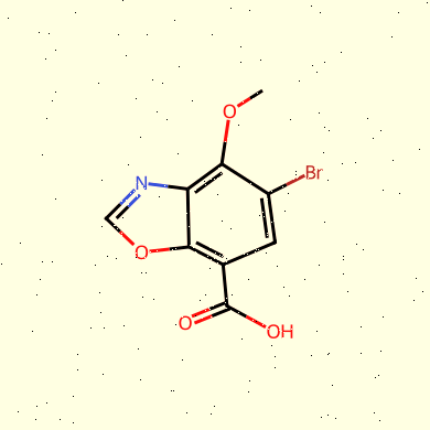 COc1c(Br)cc(C(=O)O)c2ocnc12